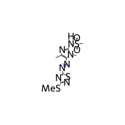 CSc1nsc(/N=N/c2c(C)nc(NS(C)(=O)=O)n2C)n1